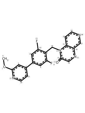 COc1cc(-c2cc(F)c(Cn3c(=O)cnc4cnccc43)c(F)c2)ccn1